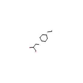 C=CC[C@H]1CC[C@H](CCC(CO)CO)CC1